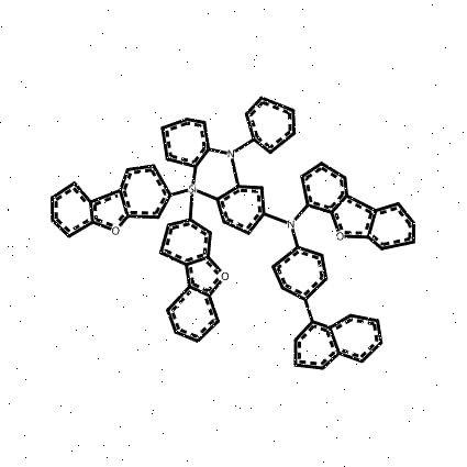 c1ccc(N2c3ccccc3[Si](c3ccc4c(c3)oc3ccccc34)(c3ccc4c(c3)oc3ccccc34)c3ccc(N(c4ccc(-c5cccc6ccccc56)cc4)c4cccc5c4oc4ccccc45)cc32)cc1